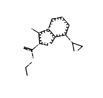 CCOC(=O)c1oc2c(C3CO3)cccc2c1C